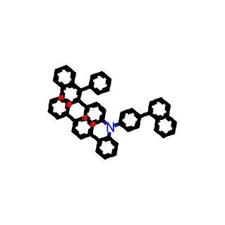 c1ccc(-c2ccc(-c3ccccc3N(c3ccc(-c4ccc5ccccc5c4-c4ccccc4)cc3)c3ccc(-c4cccc5ccccc45)cc3)cc2)cc1